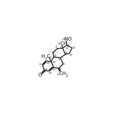 C=C1CC2C(CC[C@@]3(C)C2CC[C@@H]3N=O)[C@@]2(C)C=CC(=O)C=C12